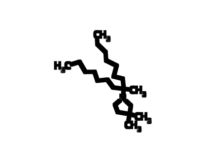 CCCCCCCC(C)(CCCCCCC)N1CCC(C)(C)C1